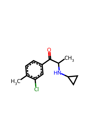 Cc1ccc(C(=O)C(C)NC2CC2)cc1Cl